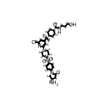 N[C@@H]1CC(=O)N(c2ccc(S(=O)(=O)N3CCN(c4cc(C(F)(F)[C@H]5CC[C@@H](C(=O)NCCCO)CC5)cc(Cl)n4)CC3)cc2)C1